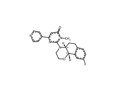 Cn1c(N2CCO[C@H]3c4cc(F)ccc4CC[C@H]32)nc(-c2ccncc2)cc1=O